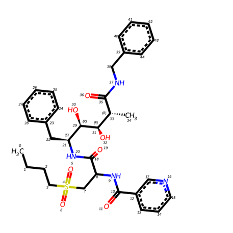 CCCCS(=O)(=O)CC(NC(=O)c1cccnc1)C(=O)N[C@@H](Cc1ccccc1)[C@@H](O)[C@H](O)[C@@H](C)C(=O)NCc1ccccc1